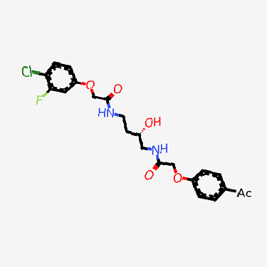 CC(=O)c1ccc(OCC(=O)NC[C@@H](O)CCNC(=O)COc2ccc(Cl)c(F)c2)cc1